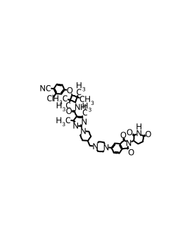 Cc1nc(N2CCC(CN3CCN(c4ccc5c(c4)C(=O)N(C4CCC(=O)NC4=O)C5=O)CC3)CC2)nc(C)c1C(=O)N[C@H]1C(C)(C)[C@H](Oc2ccc(C#N)c(Cl)c2)C1(C)C